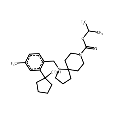 O=C(OC(C(F)(F)F)C(F)(F)F)N1CCC2(CCCN2Cc2ccc(C(F)(F)F)cc2C2(C(=O)O)CCCC2)CC1